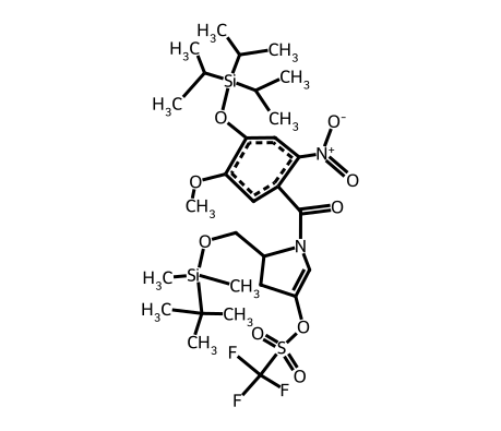 COc1cc(C(=O)N2C=C(OS(=O)(=O)C(F)(F)F)CC2CO[Si](C)(C)C(C)(C)C)c([N+](=O)[O-])cc1O[Si](C(C)C)(C(C)C)C(C)C